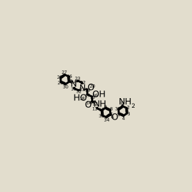 Nc1cccc(Oc2ccc(CNC(=O)[C@H](O)[C@@H](O)C(=O)N3CCN(c4ccccc4)CC3)cc2)c1